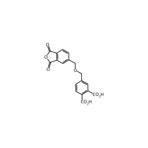 O=C(O)c1ccc(COCc2ccc3c(c2)C(=O)OC3=O)cc1C(=O)O